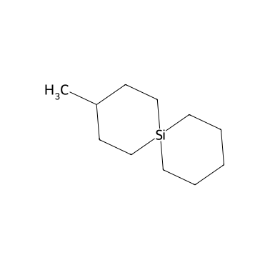 CC1CC[Si]2(CCCCC2)CC1